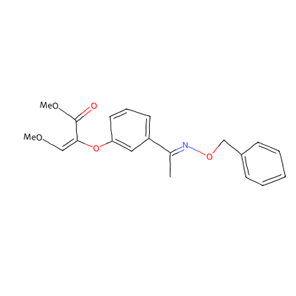 COC=C(Oc1cccc(C(C)=NOCc2ccccc2)c1)C(=O)OC